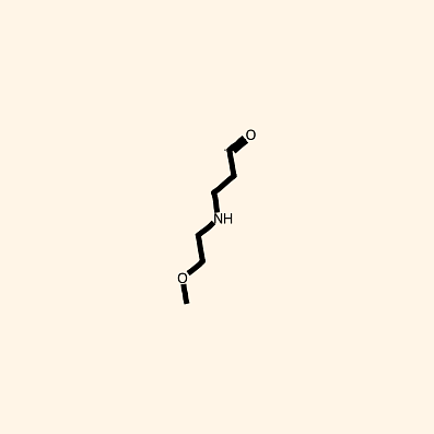 COCCNCC[C]=O